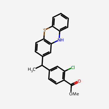 COC(=O)c1ccc(C(C)c2ccc3c(c2)Nc2ccccc2S3)cc1Cl